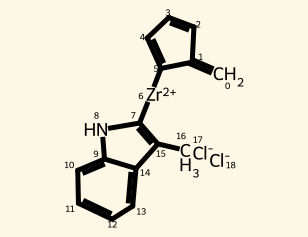 C=C1C=CC=[C]1[Zr+2][c]1[nH]c2ccccc2c1C.[Cl-].[Cl-]